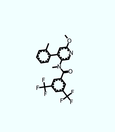 COc1cc(-c2ccccc2C)c(N(C)C(=O)c2cc(C(F)(F)F)cc(C(F)(F)F)c2)cn1